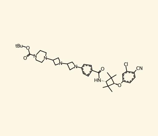 CC(C)(C)OC(=O)N1CCN(C2CN(C3CN(c4ccc(C(=O)N[C@H]5C(C)(C)[C@H](Oc6ccc(C#N)c(Cl)c6)C5(C)C)cc4)C3)C2)CC1